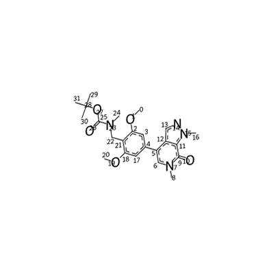 COc1cc(-c2cn(C)c(=O)c3c2cnn3C)cc(OC)c1CN(C)C(=O)OC(C)(C)C